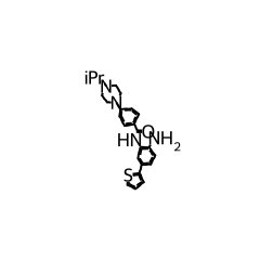 CC(C)N1CCN(c2ccc(C(=O)Nc3cc(-c4cccs4)ccc3N)cc2)CC1